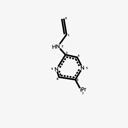 C=CNc1cnc(C(C)C)cn1